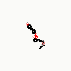 CCCC[Si](C)(C)O[Si](C)(C)CCCc1ccccc1OC(=O)Oc1ccc(C(C)(C)c2ccc(OC)cc2)cc1